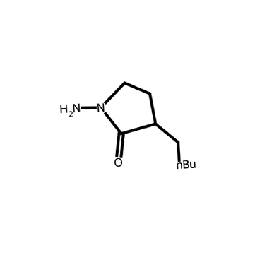 CCCCCC1CCN(N)C1=O